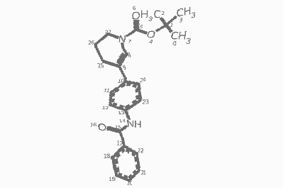 CC(C)(C)OC(=O)N1C=C(c2ccc(NC(=O)c3ccccc3)cc2)CCC1